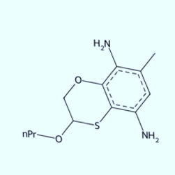 CCCOC1COc2c(N)c(C)cc(N)c2S1